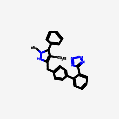 CCCCN1NC(Cc2ccc(-c3ccccc3-c3nn[nH]n3)cc2)=C(C(=O)OCC)C1c1ccccc1